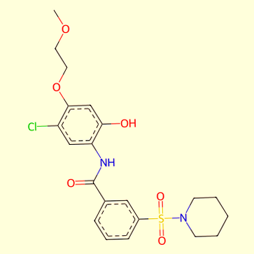 COCCOc1cc(O)c(NC(=O)c2cccc(S(=O)(=O)N3CCCCC3)c2)cc1Cl